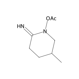 CC(=O)ON1CC(C)CCC1=N